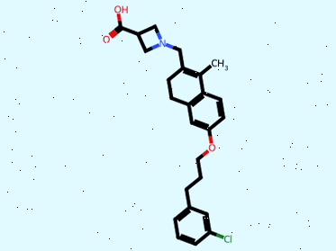 CC1=C(CN2CC(C(=O)O)C2)CCc2cc(OCCCc3cccc(Cl)c3)ccc21